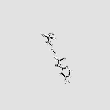 CC(C)(C)S(=O)(=O)NCCCCC(=O)Nc1cccc(N)c1